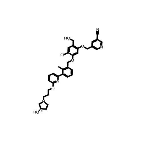 Cc1c(COc2cc(OCc3cncc(C#N)c3)c(CO)cc2Cl)cccc1-c1cccc(OCCCN2CC[C@@H](O)C2)n1